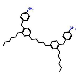 CCCCCCc1cc(CCCCCc2ccc(Cc3ccc(N)cc3)c(CCCCCC)c2)ccc1Cc1ccc(N)cc1